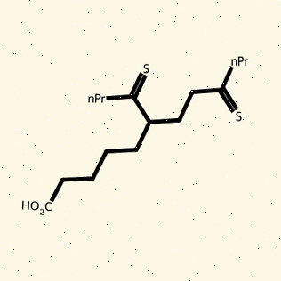 CCCC(=S)CCC(CCCCC(=O)O)C(=S)CCC